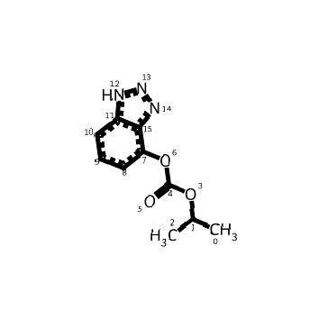 CC(C)OC(=O)Oc1cccc2[nH]nnc12